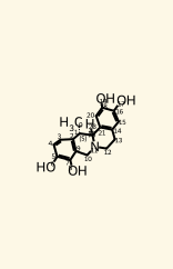 C[C@H]1c2ccc(O)c(O)c2CN2CCc3cc(O)c(O)cc3[C@@H]12